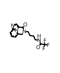 O=C1c2cnc3cccc(n23)CN1CCCCNC(=O)C(F)(F)F